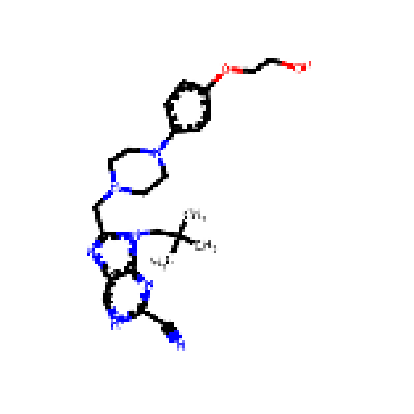 CC(C)(C)Cn1c(CN2CCN(c3ccc(OCCO)cc3)CC2)nc2cnc(C#N)nc21